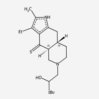 CCc1c(C)[nH]c2c1C(=S)[C@@H]1CN(CC(O)C(C)(C)C)CC[C@H]1C2